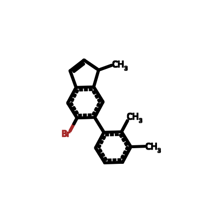 Cc1cccc(-c2cc3c(cc2Br)C=CC3C)c1C